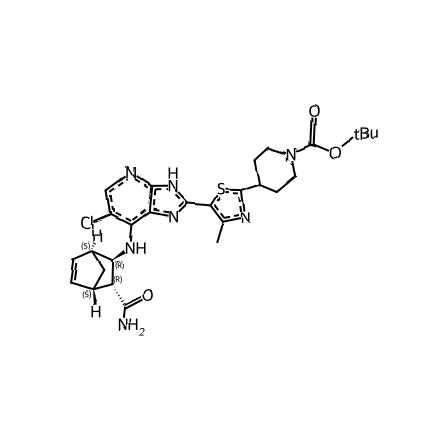 Cc1nc(C2CCN(C(=O)OC(C)(C)C)CC2)sc1-c1nc2c(N[C@H]3[C@H](C(N)=O)[C@@H]4C=C[C@@H]3C4)c(Cl)cnc2[nH]1